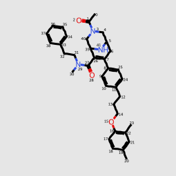 CC(=O)N1CC2CC(c3ccc(CCCOc4ccc(C)cc4C)cc3)=C(C(=O)N(C)CCc3ccccc3)C(C1)N2